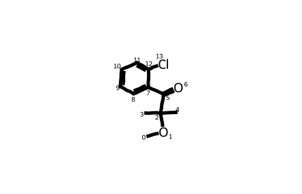 COC(C)(C)C(=O)c1ccccc1Cl